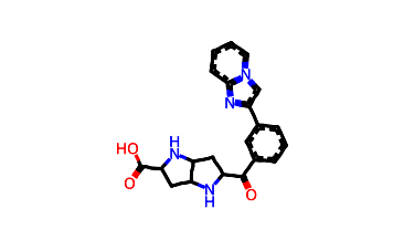 O=C(O)C1CC2NC(C(=O)c3cccc(-c4cn5ccccc5n4)c3)CC2N1